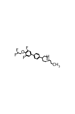 CCC[SiH]1CCC(c2ccc(-c3cc(F)c(OCC(F)F)c(F)c3)cc2)CC1